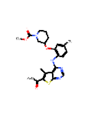 COC(=O)c1sc2ncnc(Nc3ccc(C(F)(F)F)cc3OC3CCCN(C(=O)OC(C)(C)C)C3)c2c1C